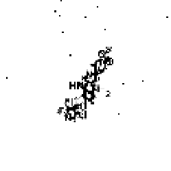 C[C@H](Oc1ccc(N)c(C(=N)c2ccc(N3CCN(S(C)(=O)=O)CC3)nc2)c1)c1c(Cl)cnc(F)c1Cl